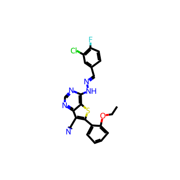 CCOc1ccccc1-c1sc2c(NN=Cc3ccc(F)c(Cl)c3)ncnc2c1C#N